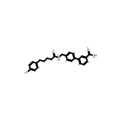 O=C(CCCCc1ccc(F)cc1)NCc1ccc(-c2cccc(C(=O)O)c2)cc1